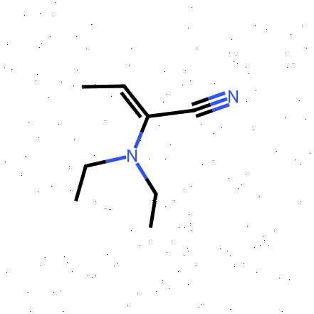 CC=C(C#N)N(CC)CC